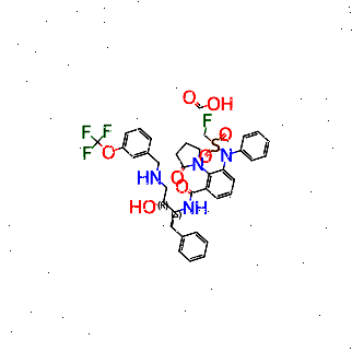 O=C(N[C@@H](Cc1ccccc1)[C@H](O)CNCc1cccc(OC(F)(F)F)c1)c1cccc(N(c2ccccc2)S(=O)(=O)CF)c1N1CCCC1=O.O=CO